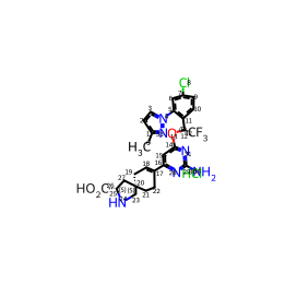 Cc1ccn(-c2cc(Cl)ccc2[C@@H](Oc2cc(C3=CC[C@]4(CC3)CN[C@H](C(=O)O)C4)nc(N)n2)C(F)(F)F)n1.Cl